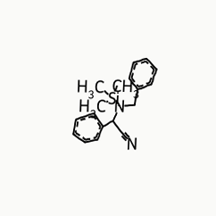 C[Si](C)(C)N(Cc1ccccc1)C(C#N)c1ccccc1